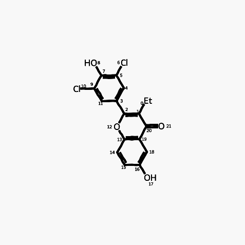 CCc1c(-c2cc(Cl)c(O)c(Cl)c2)oc2ccc(O)cc2c1=O